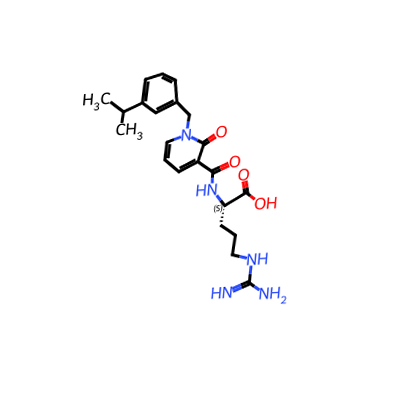 CC(C)c1cccc(Cn2cccc(C(=O)N[C@@H](CCCNC(=N)N)C(=O)O)c2=O)c1